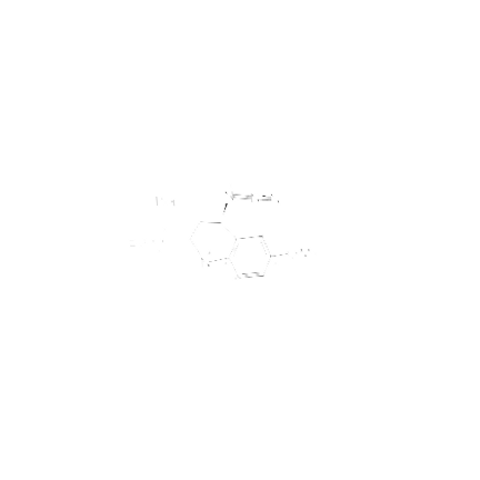 CCCCC[C@H]1[C@@H](C(=O)OCC)Nc2ccc(OC)cc2[C@@H]1N=[N+]=[N-]